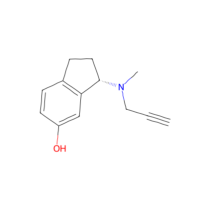 C#CCN(C)[C@H]1CCc2ccc(O)cc21